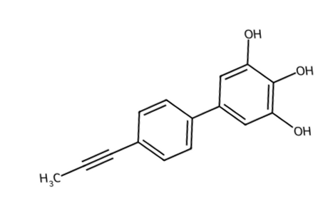 CC#Cc1ccc(-c2cc(O)c(O)c(O)c2)cc1